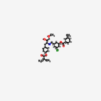 COCC(=O)C(Cc1ccc(OC(=O)C(C)C)cc1)N=Cc1cc(Br)cc(OC(=O)c2cccc(C)c2)c1